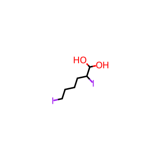 OC(O)C(I)CCCCI